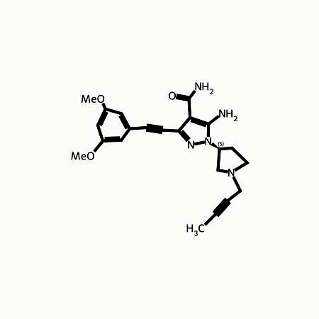 CC#CCN1CC[C@H](n2nc(C#Cc3cc(OC)cc(OC)c3)c(C(N)=O)c2N)C1